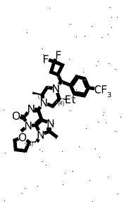 CC[C@@H]1CN(c2nc(=O)n(C)c3c2nc(C)n3C[C@@H]2CCCO2)[C@@H](C)CN1C(c1ccc(C(F)(F)F)cc1)C1CC(F)(F)C1